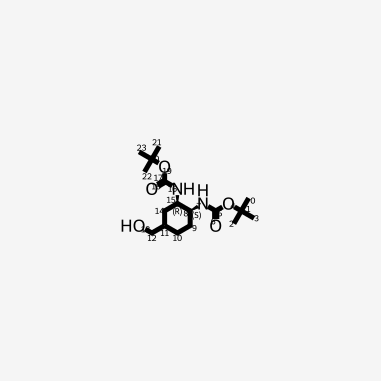 CC(C)(C)OC(=O)N[C@H]1CCC(CO)C[C@H]1NC(=O)OC(C)(C)C